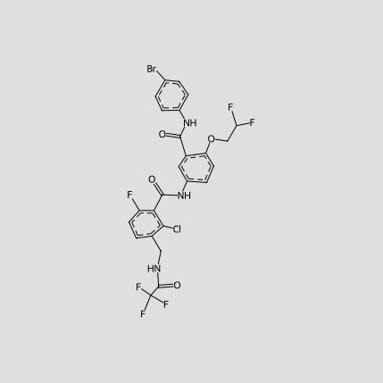 O=C(Nc1ccc(Br)cc1)c1cc(NC(=O)c2c(F)ccc(CNC(=O)C(F)(F)F)c2Cl)ccc1OCC(F)F